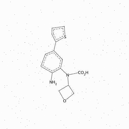 Nc1ccc(-c2cccs2)cc1N(C(=O)O)C1COC1